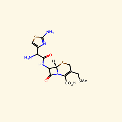 CSCC1=C(C(=O)O)N2C(=O)C(NC(=O)C(N)c3csc(N)n3)[C@@H]2SC1